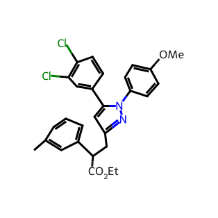 CCOC(=O)C(Cc1cc(-c2ccc(Cl)c(Cl)c2)n(-c2ccc(OC)cc2)n1)c1cccc(C)c1